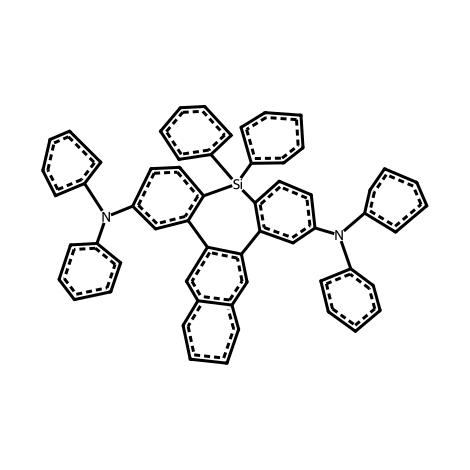 c1ccc(N(c2ccccc2)c2ccc3c(c2)-c2cc4ccccc4cc2-c2cc(N(c4ccccc4)c4ccccc4)ccc2[Si]3(c2ccccc2)c2ccccc2)cc1